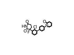 O=C1CC[C@@](F)(c2cccc(-c3ccc(-n4ccccc4=O)cc3)c2Cl)C(=O)N1